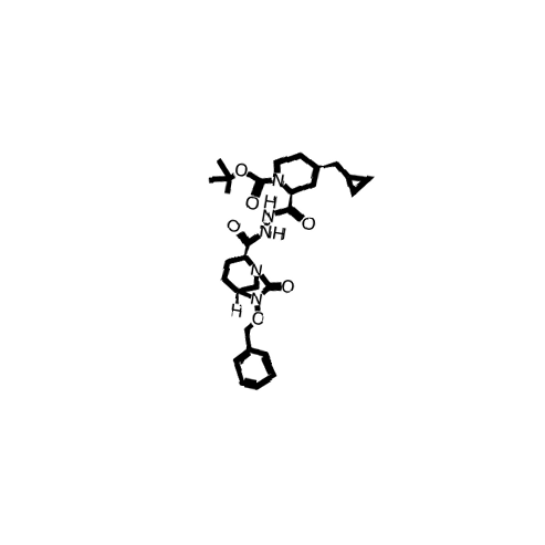 CC(C)(C)OC(=O)N1CC[C@@H](CC2CC2)C[C@H]1C(=O)NNC(=O)[C@@H]1CC[C@@H]2CN1C(=O)N2OCc1ccccc1